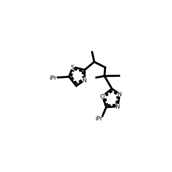 CC(C)c1nnc(C(C)(C)CC(C)c2ncc(C(C)C)s2)o1